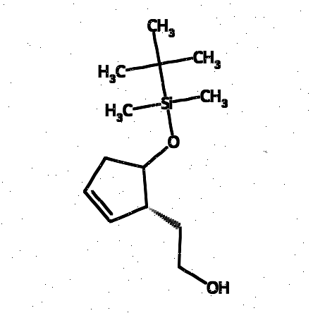 CC(C)(C)[Si](C)(C)OC1CC=C[C@H]1CCO